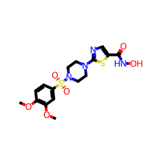 COc1ccc(S(=O)(=O)N2CCN(c3ncc(C(=O)NO)s3)CC2)cc1OC